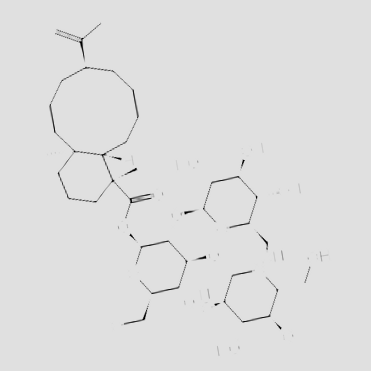 C=C(C)[C@H]1CCCC[C@H]2[C@](C)(CCC1)CCC[C@@]2(C)C(=O)O[C@@H]1O[C@H](CO)[C@@H](O)[C@H](O[C@@H]2O[C@H](CO)[C@@H](O)[C@H](O)[C@H]2O)[C@H]1O[C@@H]1O[C@H](CO)[C@@H](O)[C@H](O)[C@H]1O